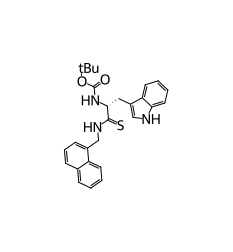 CC(C)(C)OC(=O)N[C@H](Cc1c[nH]c2ccccc12)C(=S)NCc1cccc2ccccc12